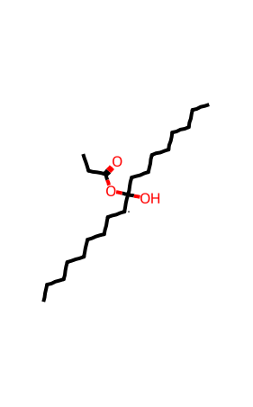 CCCCCCCC[CH]C(O)(CCCCCCCC)OC(=O)CC